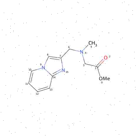 COC(=O)CN(C)Cc1cn2ccccc2n1